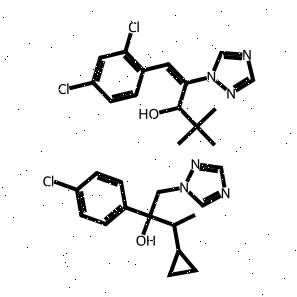 CC(C)(C)C(O)/C(=C\c1ccc(Cl)cc1Cl)n1cncn1.CC(C1CC1)C(O)(Cn1cncn1)c1ccc(Cl)cc1